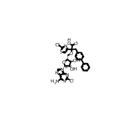 Nc1nc(Cl)nc2c1ncn2[C@@H]1O[C@H](COC(Cc2ccc(-c3ccccc3)cc2)(C(=O)O)c2csc(Cl)n2)[C@@H](O)[C@H]1O